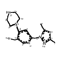 Cc1nc(C)n(-c2cc(N3CCNCC3)c(F)cn2)n1